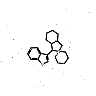 c1ccc2c(C3C4CCCCC4C[N+]34CCCCC4)noc2c1